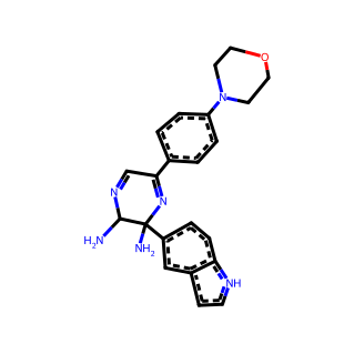 NC1N=CC(c2ccc(N3CCOCC3)cc2)=NC1(N)c1ccc2[nH]ccc2c1